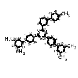 Cc1ccc(-c2cccc(-c3nc(-c4ccc(-c5cc(C)cc(C)c5)cc4)nc(-c4ccc(-c5cc(C)cc(C)c5)cc4)n3)c2)cc1